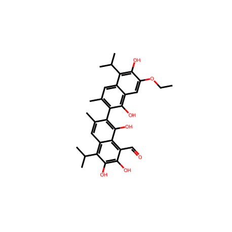 CCOc1cc2c(O)c(-c3c(C)cc4c(C(C)C)c(O)c(O)c(C=O)c4c3O)c(C)cc2c(C(C)C)c1O